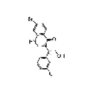 O=C1c2ccc(Br)cc2NCN1[C@H](CO)c1cccc(Cl)c1